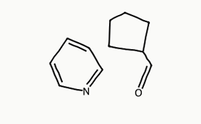 O=CC1CCCC1.c1ccncc1